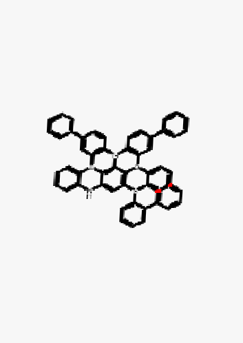 c1ccc(-c2ccc3c(c2)B2c4ccccc4Nc4cc5c6c(c42)N3c2ccc(-c3ccccc3)cc2B6c2ccccc2N5c2ccccc2-c2ccccc2)cc1